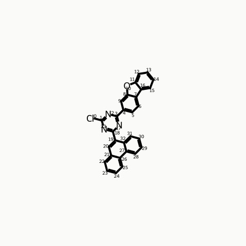 Clc1nc(-c2ccc3c(c2)oc2ccccc23)nc(-c2cc3ccccc3c3ccccc23)n1